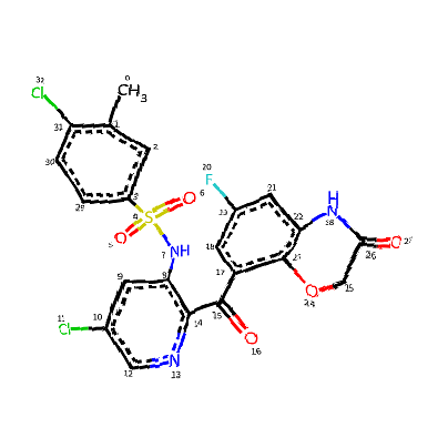 Cc1cc(S(=O)(=O)Nc2cc(Cl)cnc2C(=O)c2cc(F)cc3c2OCC(=O)N3)ccc1Cl